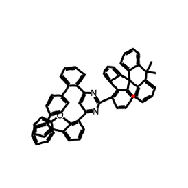 CC1(C)c2ccccc2C2(c3ccccc3-c3c(-c4nc(-c5ccccc5-c5ccc(-c6ccccc6)cc5)cc(-c5cccc6c5oc5ccccc56)n4)cccc32)c2ccccc21